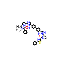 CN(C)[C@@H](C(=O)N1CCC[C@H]1c1ncc(-c2ccc(-c3ccc(-c4cnc([C@@H]5CCCN5C(=O)c5csc(-c6ccccc6)n5)[nH]4)cc3)cc2)[nH]1)c1ccccc1